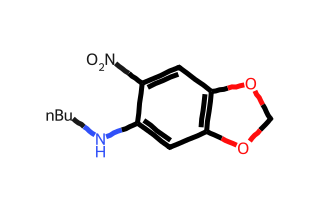 CCCCNc1cc2c(cc1[N+](=O)[O-])OCO2